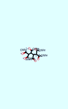 COC(=O)C(C(=O)OC)C(C(=O)OC)C(C(=O)OC)C(C(=O)OC)C(=O)OC